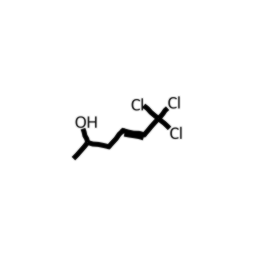 CC(O)CC=CC(Cl)(Cl)Cl